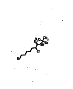 CCC(C)(C)NC(=O)C(Cl)CCCCCBr